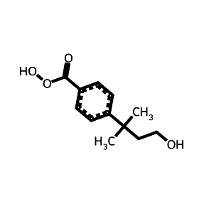 CC(C)(CCO)c1ccc(C(=O)OO)cc1